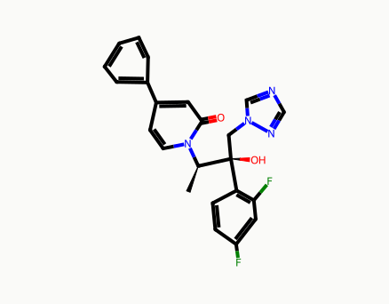 C[C@@H](n1ccc(-c2ccccc2)cc1=O)[C@](O)(Cn1cncn1)c1ccc(F)cc1F